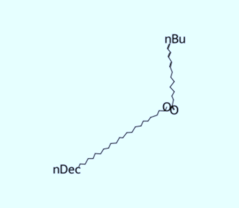 CCCCC=CC=CC=CCCCCCCCC(=O)OCCCCCCCCCCCCCCCCCCCCCCCCCCCCCCCC